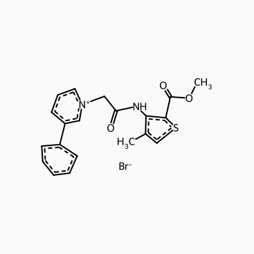 COC(=O)c1scc(C)c1NC(=O)C[n+]1cccc(-c2ccccc2)c1.[Br-]